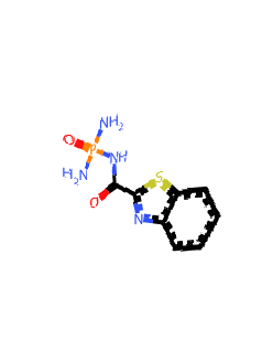 NP(N)(=O)NC(=O)c1nc2ccccc2s1